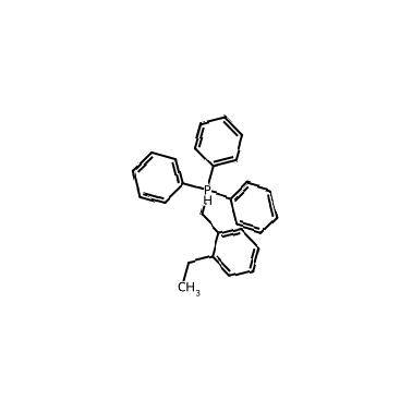 CCc1ccccc1C[PH](c1ccccc1)(c1ccccc1)c1ccccc1